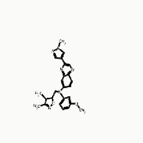 COc1cccc(N(CC2ON=C(C)C2C)c2ccc3ncc(-c4cnn(C)c4)nc3c2)c1